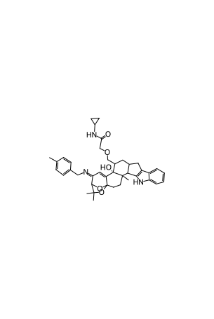 Cc1ccc(C/N=C2/C=C3C4(CCC5(C)C6c7[nH]c8ccccc8c7CC6CC(COCC(=O)NC6CC6)[C@]35O)OC2C(C)(C)O4)cc1